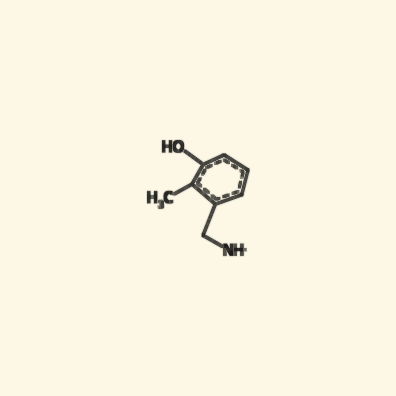 Cc1c(O)cccc1C[NH]